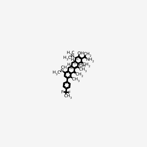 C=C(N)C1=C(O)[C@@H](N(C)C)[C@@H]2C[C@@H]3Cc4c(N(C)C)cc(-c5ccc(C(C)(F)F)cc5)c(C)c4C(=C)C3=C(C)[C@]2(O)C1=C